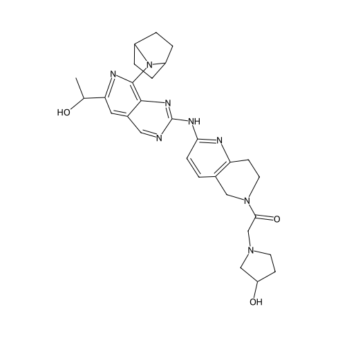 CC(O)c1cc2cnc(Nc3ccc4c(n3)CCN(C(=O)CN3CCC(O)C3)C4)nc2c(N2C3CCC2CC3)n1